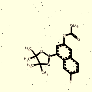 COC(=O)Oc1cc(B2OC(C)(C)C(C)(C)O2)c2cc(F)ccc2c1